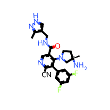 Cc1n[nH]cc1CNC(=O)c1cnc(C#N)c(-c2cc(F)cc(F)c2)c1N1CC[C@](C)(N)C1